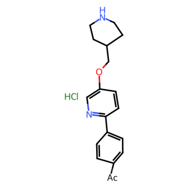 CC(=O)c1ccc(-c2ccc(OCC3CCNCC3)cn2)cc1.Cl